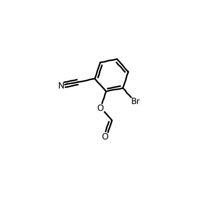 N#Cc1cccc(Br)c1OC=O